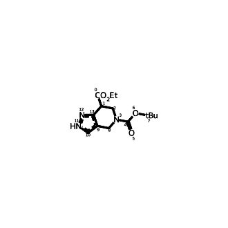 CCOC(=O)C1CN(C(=O)OC(C)(C)C)Cc2c[nH]nc21